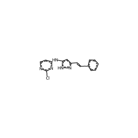 Clc1nccc(Nc2cc(C=Cc3ccccc3)n[nH]2)n1